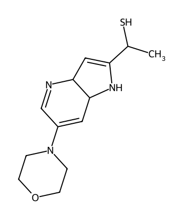 CC(S)C1=CC2N=CC(N3CCOCC3)=CC2N1